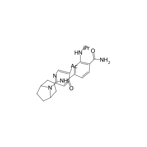 CC(=O)c1ccc(N2C3CCC2CC(NC(=O)c2ccc(C(N)=O)c(NC(C)C)c2)C3)nc1